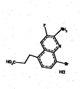 Cl.Nc1nc2c(Br)ccc(CCC(=O)O)c2cc1F